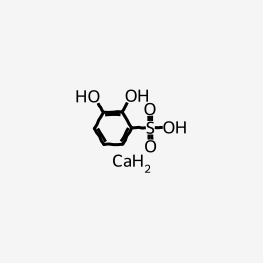 O=S(=O)(O)c1cccc(O)c1O.[CaH2]